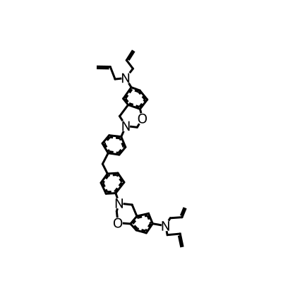 C=CCN(CC=C)c1ccc2c(c1)CN(c1ccc(Cc3ccc(N4COc5ccc(N(CC=C)CC=C)cc5C4)cc3)cc1)CO2